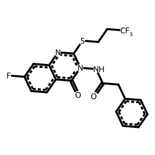 O=C(Cc1ccccc1)Nn1c(SCCC(F)(F)F)nc2cc(F)ccc2c1=O